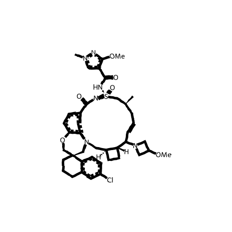 COc1nn(C)cc1C(=O)N[S@@]1(=O)=NC(=O)c2ccc3c(c2)N(C[C@@H]2CC[C@H]2C(N2CC(OC)C2)/C=C/C[C@H](C)C1)C[C@@]1(CCCc2cc(Cl)ccc21)CO3